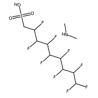 CNC.O=S(=O)(O)CC(F)C(F)C(F)C(F)C(F)C(F)C(F)C(F)F